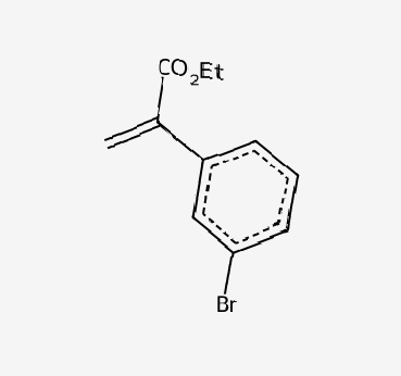 C=C(C(=O)OCC)c1cccc(Br)c1